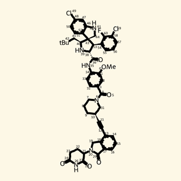 COc1cc(C(=O)N2CCC[C@H](C#Cc3cccc4c3CN(C3CCC(=O)NC3=O)C4=O)C2)ccc1NC(=O)[C@@H]1N[C@@H](CC(C)(C)C)[C@@]2(CNc3cc(Cl)ccc32)[C@H]1c1cccc(Cl)c1F